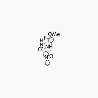 COc1ccc(CCCC2=C(C(=N)C(N)=O)CCN(c3ccccc3)C2=O)cc1F